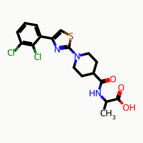 CC(NC(=O)C1CCN(c2nc(-c3cccc(Cl)c3Cl)cs2)CC1)C(=O)O